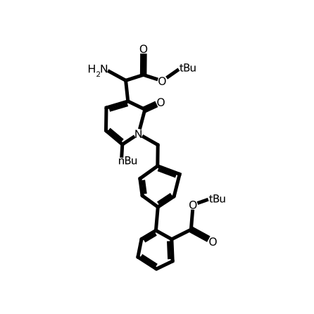 CCCCc1ccc(C(N)C(=O)OC(C)(C)C)c(=O)n1Cc1ccc(-c2ccccc2C(=O)OC(C)(C)C)cc1